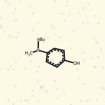 CCCCN(C)c1ccc(O)cc1